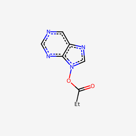 CCC(=O)On1cnc2cncnc21